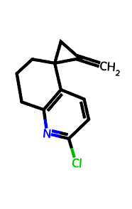 C=C1CC12CCCc1nc(Cl)ccc12